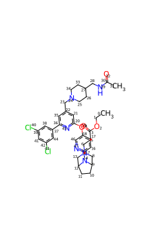 CCOC(=O)CCN1CC2CCC(C1)N2c1ccc(Oc2cc(CN3CCC(CNC(C)=O)CC3)cc(-c3cc(Cl)cc(Cl)c3)n2)cn1